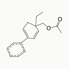 CCC1(COC(C)=O)C=CC(c2ccccc2)=CC1